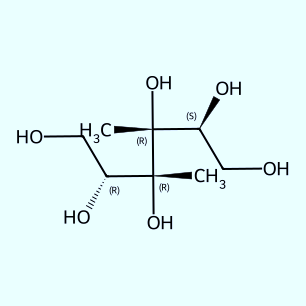 C[C@@](O)([C@H](O)CO)[C@](C)(O)[C@@H](O)CO